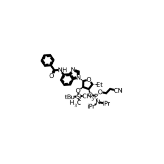 CC[C@H]1O[C@@H](n2cnc3c(NC(=O)c4ccccc4)cccc32)[C@H](O[Si](C)(C)C(C)(C)C)[C@@H]1OP(OCCC#N)N(C(C)C)C(C)C